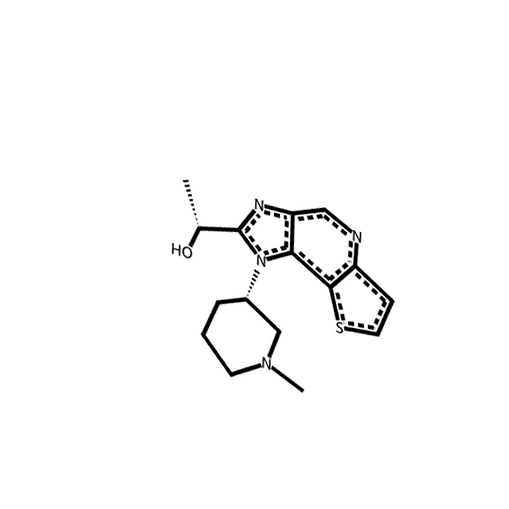 C[C@@H](O)c1nc2cnc3ccsc3c2n1[C@H]1CCCN(C)C1